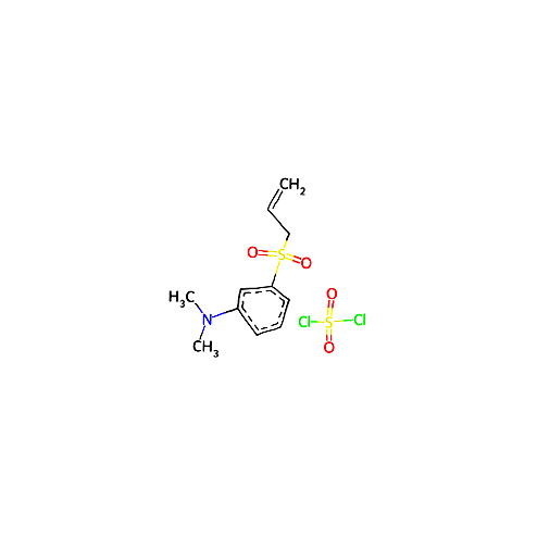 C=CCS(=O)(=O)c1cccc(N(C)C)c1.O=S(=O)(Cl)Cl